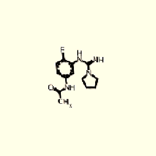 CC(=O)Nc1ccc(F)c(NC(=N)N2CCCC2)c1